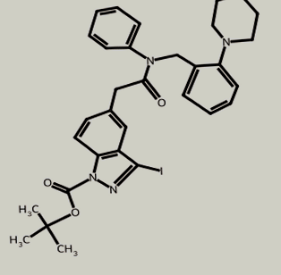 CC(C)(C)OC(=O)n1nc(I)c2cc(CC(=O)N(Cc3ccccc3N3CCCCC3)c3ccccc3)ccc21